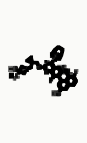 C#Cc1c(F)ccc2cc(O)cc(-c3c(C)cc4c(N5CC6CCC(C5)N6)nc(OCC5(CN6CC(C)(O)C6)CC5)nc4c3F)c12